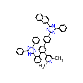 Cc1cc(-c2cc(-c3ccc(-c4nc(-c5ccccc5)nc(-c5ccc6ccccc6c5)n4)cc3)ccc2-c2ccccc2-c2nc(-c3ccccc3)nc(-c3ccccc3)n2)cc(C)n1